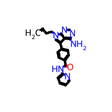 C=CCCn1cc(-c2ccc(C(=O)Nc3ccccn3)cc2)c2c(N)ncnc21